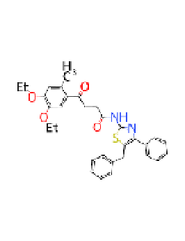 CCOc1cc(C)c(C(=O)CCC(=O)Nc2nc(-c3ccccc3)c(Cc3ccccc3)s2)cc1OCC